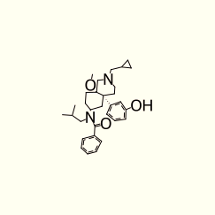 CO[C@]12CC[C@@H](N(CC(C)C)C(=O)c3ccccc3)C[C@]1(c1cccc(O)c1)CCN(CC1CC1)C2